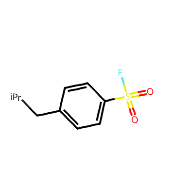 CC(C)Cc1ccc(S(=O)(=O)F)cc1